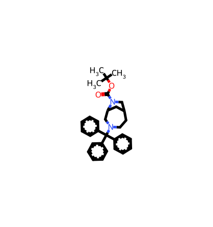 CC(C)(C)OC(=O)N1CC2CCN(C(c3ccccc3)(c3ccccc3)c3ccccc3)CC1C2